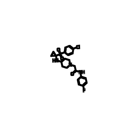 O=C(CN1CCC(NC2(S(=O)(=O)c3ccc(Cl)cc3)CC2)CC1)Nc1ccc(F)cc1